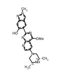 COc1nc(-c2cc3cn(C)nc3cc2O)nc2ncc(N3C[C@@H](C)N[C@@H](C)C3)cc12